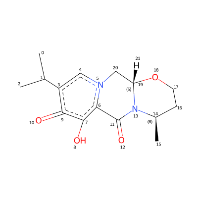 CC(C)c1cn2c(c(O)c1=O)C(=O)N1[C@H](C)CCO[C@H]1C2